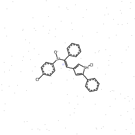 [O-][S+](/C(=C/C1=C[SH](Cl)C(c2ccccc2)=C1)c1ccccc1)c1ccc(Cl)cc1